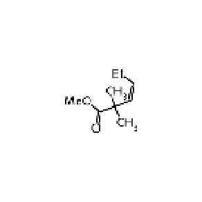 CC/C=C\C(C)(C)C(=O)OC